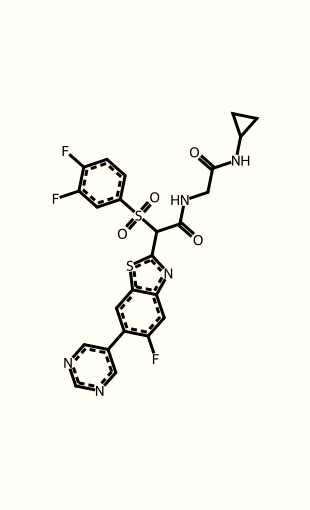 O=C(CNC(=O)C(c1nc2cc(F)c(-c3cncnc3)cc2s1)S(=O)(=O)c1ccc(F)c(F)c1)NC1CC1